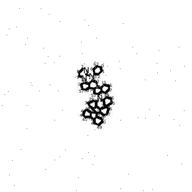 c1ccc(N(c2ncccn2)c2cc3c4ccccc4c(N(c4ccccc4)c4cccc5c4-c4ccccc4C54c5ccccc5-c5ccccc54)cc3c3ccccc23)cc1